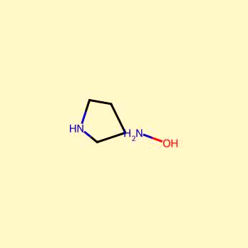 C1CCNC1.NO